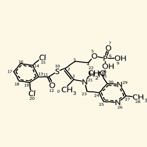 CC(=C(CCOP(=O)(O)O)SC(=O)c1c(Cl)cccc1Cl)N(C=O)Cc1cnc(C)nc1N